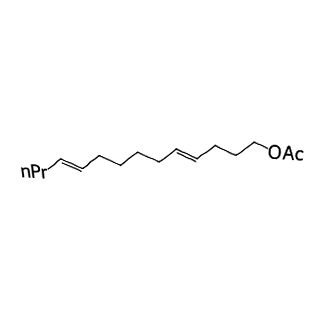 CCC/C=C/CCCC/C=C/CCCOC(C)=O